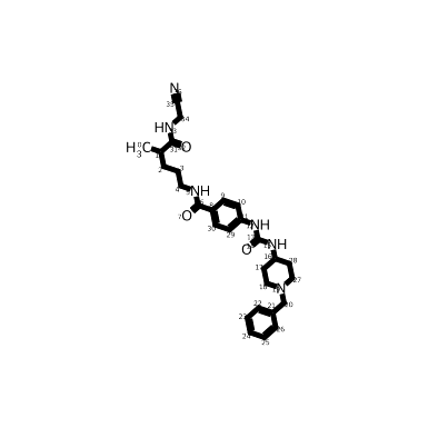 CC(CCCNC(=O)c1ccc(NC(=O)NC2CCN(Cc3ccccc3)CC2)cc1)C(=O)NCC#N